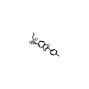 CCCS(=O)(=O)Nc1ccc2oc(-c3ccc(C)cc3)nc2c1